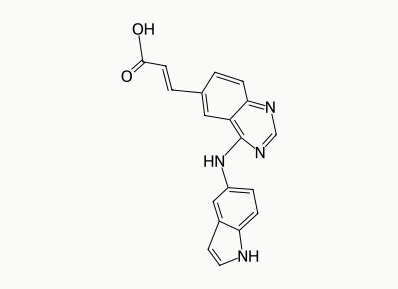 O=C(O)C=Cc1ccc2ncnc(Nc3ccc4[nH]ccc4c3)c2c1